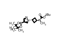 CN(C(=O)OC(C)(C)C)[C@H]1C[C@H](n2cc(B3OC(C)(C)C(C)(C)O3)cn2)C1